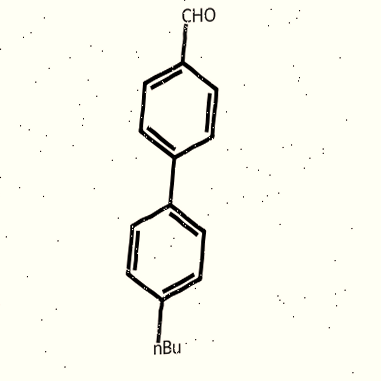 CCCCc1ccc(-c2ccc(C=O)cc2)cc1